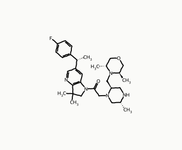 C[C@@H](c1ccc(F)cc1)c1cnc2c(c1)N(C(=O)CN1C[C@@H](C)NC[C@@H]1CN1[C@H](C)COC[C@H]1C)CC2(C)C